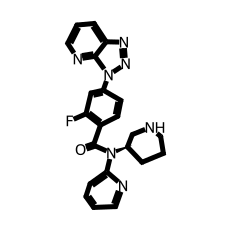 O=C(c1ccc(-n2nnc3cccnc32)cc1F)N(c1ccccn1)[C@@H]1CCCNC1